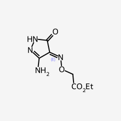 CCOC(=O)CO/N=C1/C(=O)NN=C1N